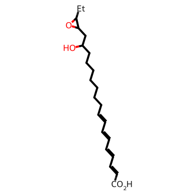 CCC1OC1CC(O)CCCCCCCC=CC=CC=CC=CC(=O)O